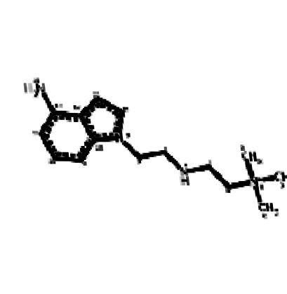 C[N+](C)(C)CCNCCn1ccc2c(N)cccc21